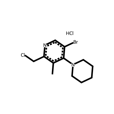 Cc1c(CCl)ncc(Br)c1N1CCCCC1.Cl